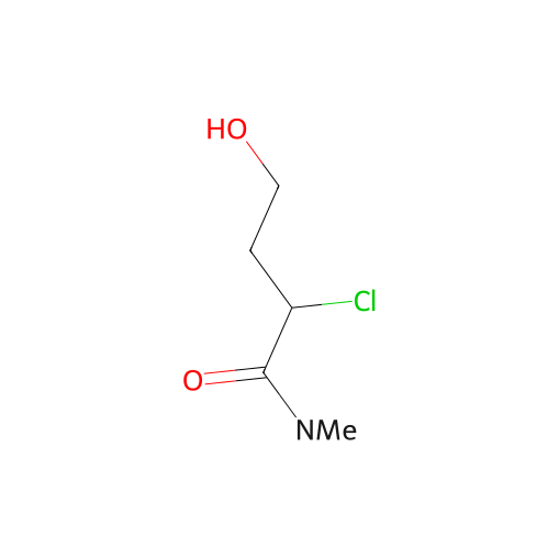 CNC(=O)C(Cl)CCO